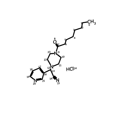 CCCCCCCC(=O)N1CCN(C(C#N)c2cccnc2)CC1.Cl